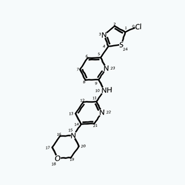 Clc1cnc(-c2cccc(Nc3ccc(N4CCOCC4)cn3)n2)s1